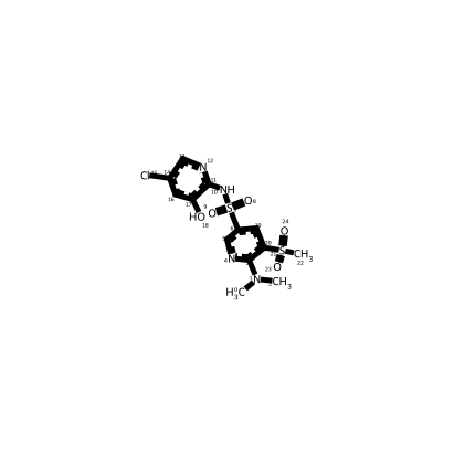 CN(C)c1ncc(S(=O)(=O)Nc2ncc(Cl)cc2O)cc1S(C)(=O)=O